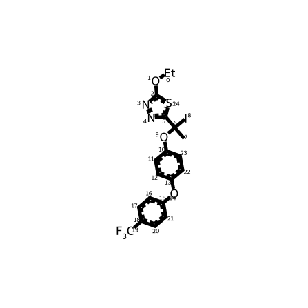 CCOc1nnc(C(C)(I)Oc2ccc(Oc3ccc(C(F)(F)F)cc3)cc2)s1